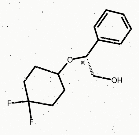 OC[C@H](OC1CCC(F)(F)CC1)c1ccccc1